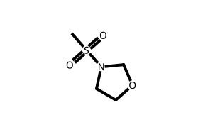 CS(=O)(=O)N1CCOC1